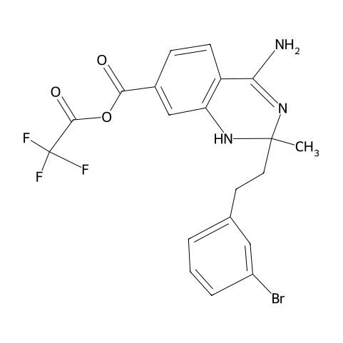 CC1(CCc2cccc(Br)c2)N=C(N)c2ccc(C(=O)OC(=O)C(F)(F)F)cc2N1